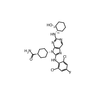 NC(=O)[C@H]1CC[C@H](n2c(Nc3c(Cl)cc(F)cc3Cl)nc3cnc(N[C@H]4CCCC[C@H]4O)nc32)CC1